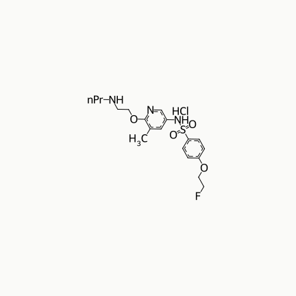 CCCNCCOc1ncc(NS(=O)(=O)c2ccc(OCCF)cc2)cc1C.Cl